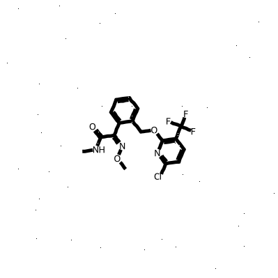 CNC(=O)/C(=N\OC)c1ccccc1COc1nc(Cl)ccc1C(F)(F)F